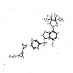 COC1OC1[C@H]1C[C@@H]1c1cnc(N[C@@H]2CCc3c(B4OC(C)(C)C(C)(C)O4)ccc(F)c32)cn1